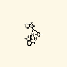 CC(C)CCCC(CNC(=O)Nc1c(C(C)C)cccc1C(C)C)c1csc2ccccc12